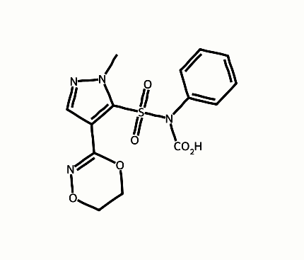 Cn1ncc(C2=NOCCO2)c1S(=O)(=O)N(C(=O)O)c1ccccc1